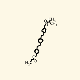 C=CC(=O)OCc1ccc(CCc2ccc(CCc3ccc(COC(=O)C(=C)C)cc3)cc2)cc1